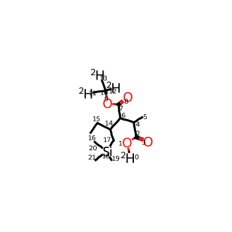 [2H]OC(=O)C(C)C(C(=O)OC([2H])([2H])[2H])C(CC)C[Si](C)(C)C